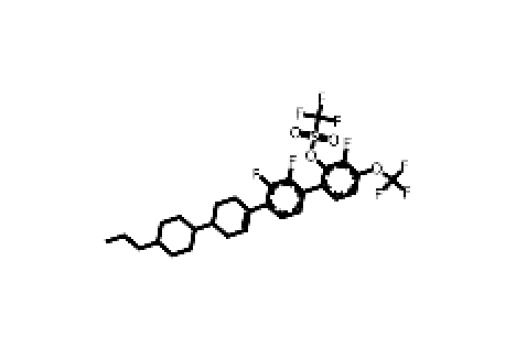 CCCC1CCC(C2CC=C(c3ccc(-c4ccc(OC(F)(F)F)c(F)c4OS(=O)(=O)C(F)(F)F)c(F)c3F)CC2)CC1